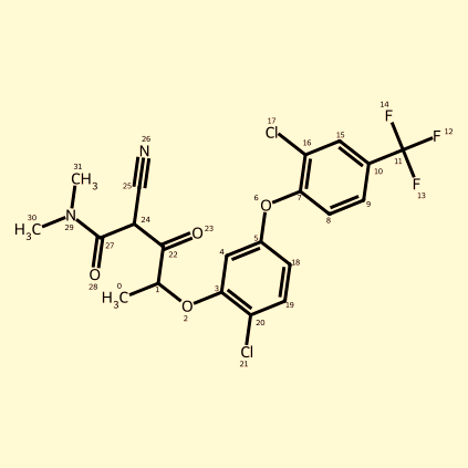 CC(Oc1cc(Oc2ccc(C(F)(F)F)cc2Cl)ccc1Cl)C(=O)C(C#N)C(=O)N(C)C